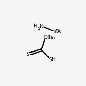 CC(C)COC(=S)S.CCCCN